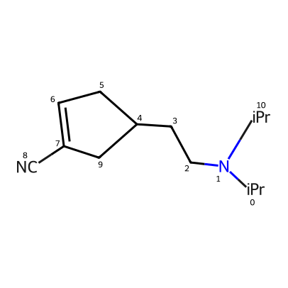 CC(C)N(CCC1CC=C(C#N)C1)C(C)C